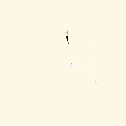 COP1OC[C@H]2Cc3ccccc3N21